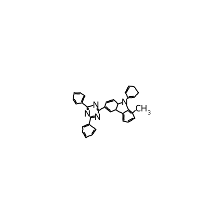 Cc1cccc2c1N(C1=CCCC=C1)C1C=CC(c3nc(-c4ccccc4)nc(-c4ccccc4)n3)=CC21